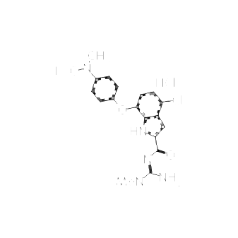 CNC(N)=NC(=O)c1cc2c(Cl)ccc(Oc3ccc(N(C)C)cc3)c2[nH]1.Cl